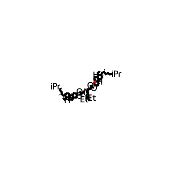 CCN(CC)CCN(CCC(=O)O[C@H]1CC[C@@]2(C)C(=CCC3[C@@H]4CC[C@H]([C@H](C)CCCC(C)C)[C@@]4(C)CC[C@@H]32)C1)CCC(=O)O[C@H]1CC[C@@]2(C)C(=CCC3[C@@H]4CC[C@H]([C@H](C)CCCC(C)C)[C@@]4(C)CC[C@@H]32)C1